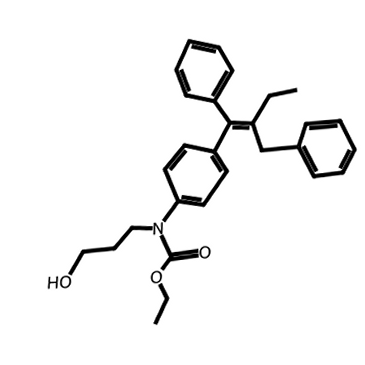 CCOC(=O)N(CCCO)c1ccc(/C(=C(/CC)Cc2ccccc2)c2ccccc2)cc1